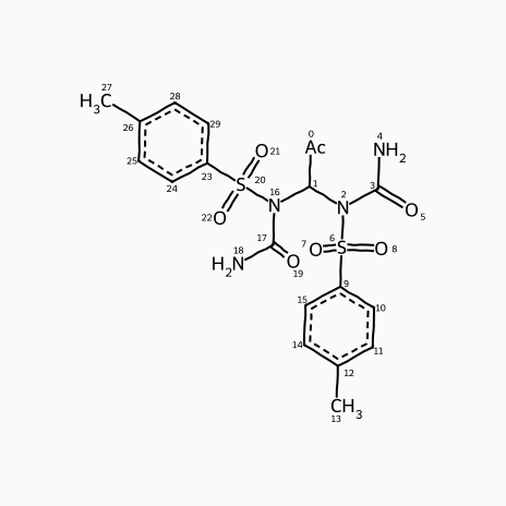 CC(=O)C(N(C(N)=O)S(=O)(=O)c1ccc(C)cc1)N(C(N)=O)S(=O)(=O)c1ccc(C)cc1